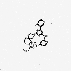 CNC(=O)C1CCCC2(CCN(c3nc(Nc4cc(OC(F)(F)F)ccn4)cc(-c4cnccc4C)n3)C2)C1